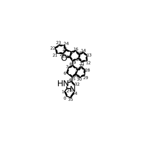 C1=CC2NC(c3ccc(-c4c5ccccc5cc5c4oc4ccccc45)c4ccccc34)=CN2C=C1